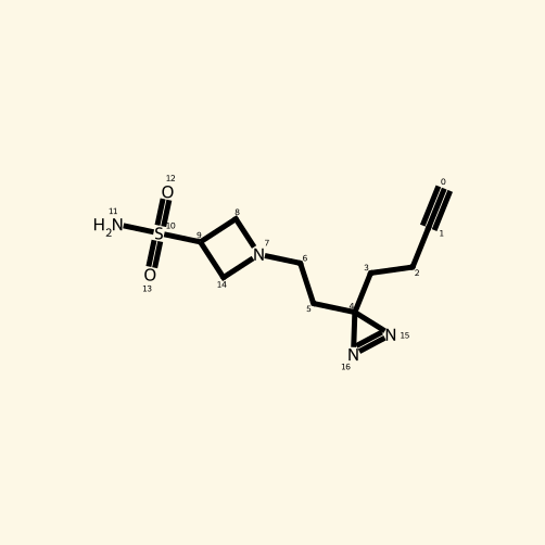 C#CCCC1(CCN2CC(S(N)(=O)=O)C2)N=N1